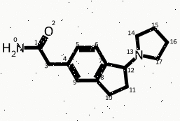 NC(=O)Cc1ccc2c(c1)CCC2N1CCCC1